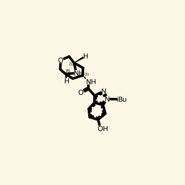 CCC(C)n1nc(C(=O)N[C@H]2C[C@H]3COC[C@@H](C2)N3)c2ccc(O)cc21